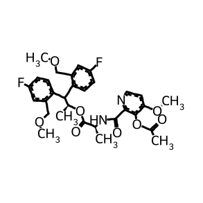 COCc1cc(F)ccc1C(c1ccc(F)cc1COC)[C@H](C)OC(=O)[C@H](C)NC(=O)c1nccc(OC)c1OC(C)=O